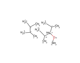 CC(C)C(C)C.CC(C)[SiH](O[SiH3])C(C)C